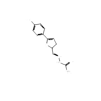 Cc1ccc(C2=CCC(/C=N/NC(N)=S)O2)cc1